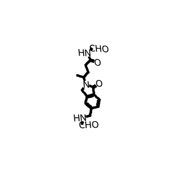 CC(CCC(=O)NC=O)N1Cc2cc(CNC=O)ccc2C1=O